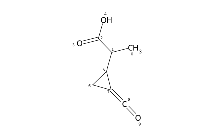 CC(C(=O)O)C1CC1=C=O